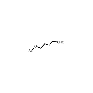 CC(=O)OCCOCC=O